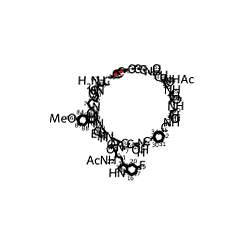 CC[C@@H]1NC(=O)[C@@H](N(C)C(=O)[C@H](Cc2c[nH]c3ccc(F)cc23)NC(C)=O)CCC(O)NCc2cccc(c2)CNC(=O)[C@@H](C)NC(=O)[C@H](C)NC(=O)[C@@H](NC(C)=O)CC(=O)NCCOc2ccc(cc2)C[C@@H](C(N)=O)NC(=O)[C@]2(C)CCCN2C(=O)[C@H](Cc2ccc(OC)cc2)NC1=O